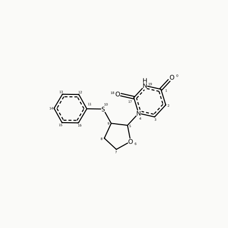 O=c1ccn(C2OCCC2Sc2ccccc2)c(=O)[nH]1